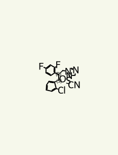 N#CSN1CN=CN1C[C@@]1(c2ccc(F)cc2F)O[C@H]1c1ccccc1Cl